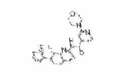 Cn1cncc1-c1ccc2cnc(NC(=O)c3ccnc(N4CCOCC4)c3)nc2c1